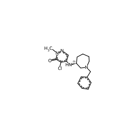 Cn1ncc(N[C@H]2CCCCN(Cc3ccccc3)C2)c(Cl)c1=O